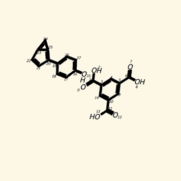 O=C(O)c1cc(C(=O)O)cc(C(=O)O)c1.Oc1ccc(-c2ccc3cc2-3)cc1